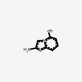 CCCc1cccc2nc(N)cn12